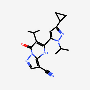 CC(C)c1c(-c2cc(C3CC3)nn2C(C)C)[nH]c2c(C#N)cnn2c1=O